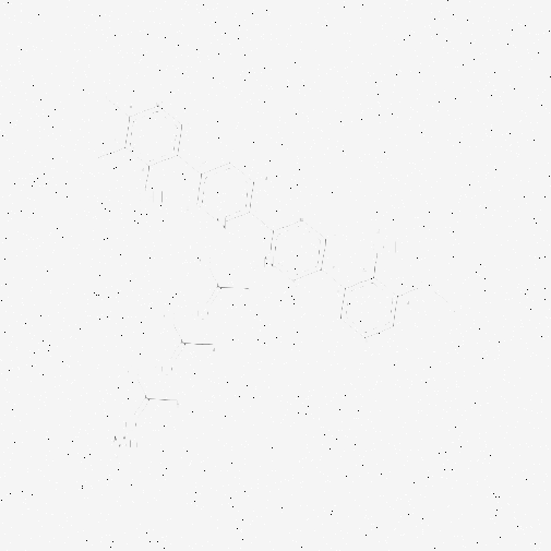 CC(=O)[O-].CC(=O)[O-].CC(=O)[O-].COc1cccc(-c2ccc(-c3ccc(-c4ccc(C)c(C)c4O)cn3)nc2)c1O.[Mn+3]